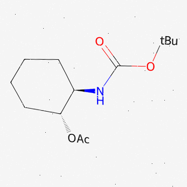 CC(=O)O[C@@H]1CCCC[C@H]1NC(=O)OC(C)(C)C